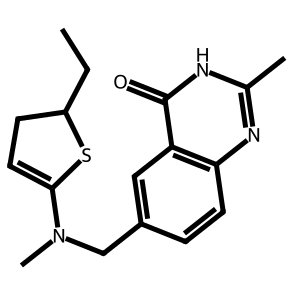 CCC1CC=C(N(C)Cc2ccc3nc(C)[nH]c(=O)c3c2)S1